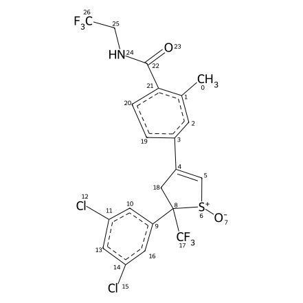 Cc1cc(C2=C[S+]([O-])C(c3cc(Cl)cc(Cl)c3)(C(F)(F)F)C2)ccc1C(=O)NCC(F)(F)F